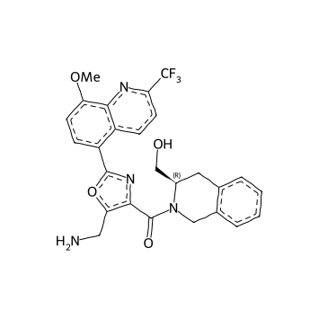 COc1ccc(-c2nc(C(=O)N3Cc4ccccc4C[C@@H]3CO)c(CN)o2)c2ccc(C(F)(F)F)nc12